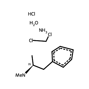 CN[C@@H](C)Cc1ccccc1.Cl.ClCCl.N.O